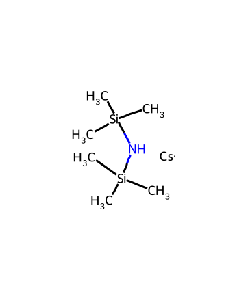 C[Si](C)(C)N[Si](C)(C)C.[Cs]